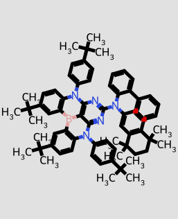 CC(C)(C)c1ccc(N2c3ccc(C(C)(C)C)cc3B3c4cc(C(C)(C)C)ccc4N(c4ccc(C(C)(C)C)cc4)c4nc(N(c5ccc6c(c5)C(C)(C)CCC6(C)C)c5ccccc5-c5ccccc5)nc2c43)cc1